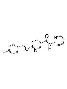 O=C(Nc1ccccn1)c1ccc(OCc2ccc(F)cc2)nc1